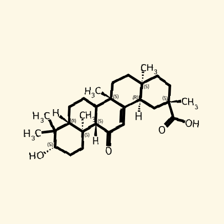 CC1(C)[C@@H](O)CC[C@]2(C)[C@H]3C(=O)C=C4[C@@H]5C[C@@](C)(C(=O)O)CC[C@]5(C)CC[C@@]4(C)C3CC[C@@H]12